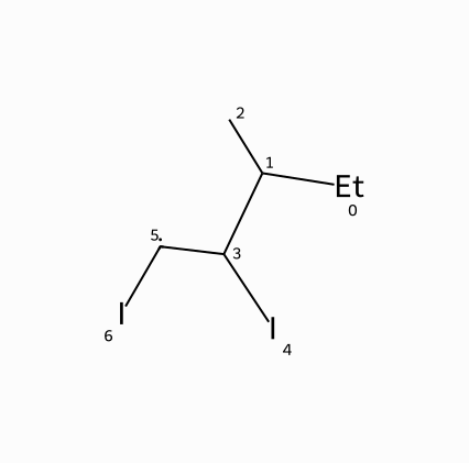 CCC(C)C(I)[CH]I